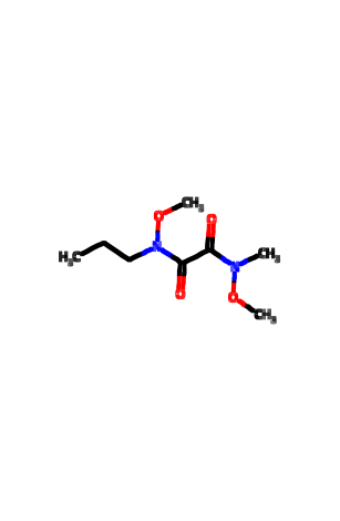 CCCN(OC)C(=O)C(=O)N(C)OC